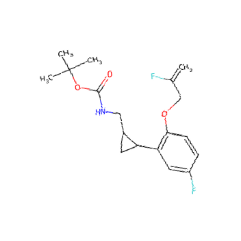 C=C(F)COc1ccc(F)cc1C1CC1CNC(=O)OC(C)(C)C